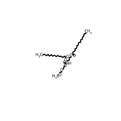 CCCCCCCCCCCCCCCC(=O)OCC(CCNC(=O)OCCOCCOC)OC(=O)CCCCCCCCCCCCCCC